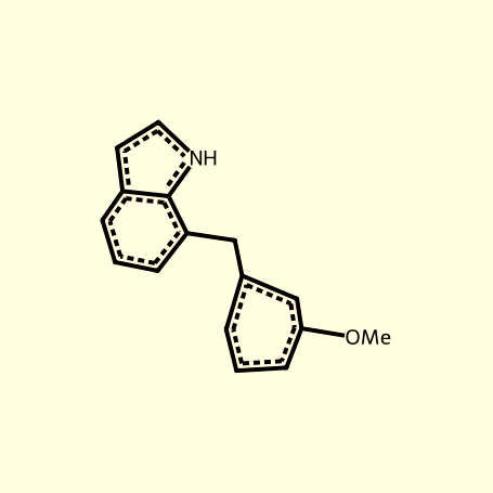 COc1cccc(Cc2cccc3cc[nH]c23)c1